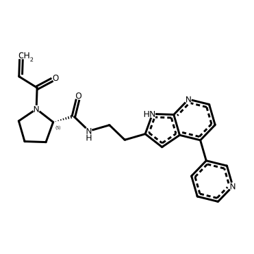 C=CC(=O)N1CCC[C@H]1C(=O)NCCc1cc2c(-c3cccnc3)ccnc2[nH]1